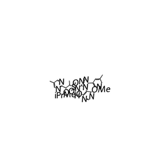 COc1ncnc(OC)c1-n1c(NS(=O)(=O)C(C)C(OC(C)C)c2ncc(C)cn2)nnc1-c1cncc(C)c1